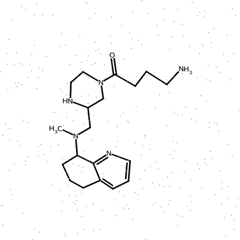 CN(CC1CN(C(=O)CCCN)CCN1)C1CCCc2cccnc21